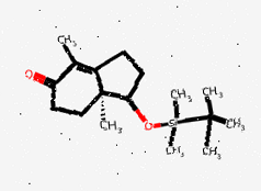 CC1=C2CCC(O[Si](C)(C)C(C)(C)C)[C@@]2(C)CCC1=O